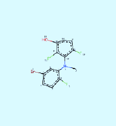 CN(c1cc(Br)ccc1F)c1c(F)ccc(O)c1F